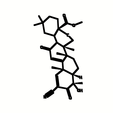 COC(=O)[C@]12CCC(C)(C)CC1C1C(=O)C=C3[C@@]4(C)C=C(C#N)C(=O)[C@](C)(O)[C@@H]4CC[C@@]3(C)[C@]1(C)CC2